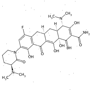 B=C1C(C(N)=O)=C(O)[C@@H](N(C)C)[C@@H]2C[C@@H]3Cc4c(F)cc(N5CCC[C@H](N(C)C)C5=O)c(O)c4C(=O)C3=C(O)[C@]12O